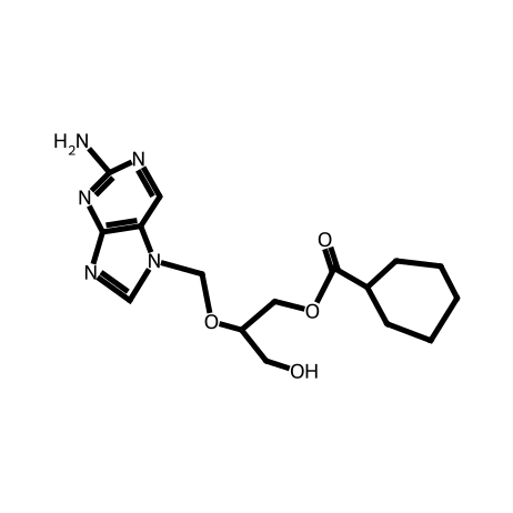 Nc1ncc2c(ncn2COC(CO)COC(=O)C2CCCCC2)n1